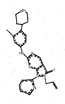 C=CCn1c(=O)c2cnc(Nc3ccc(C4CCNCC4)c(C)c3)nc2n1-c1ccccn1